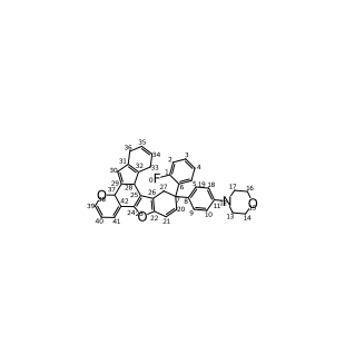 Fc1ccccc1C1(c2ccc(N3CCOCC3)cc2)C=Cc2oc3c(c2C1)C1C(=CC2=C1CC=CC2)C1OC=CC=C31